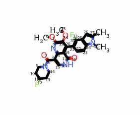 COc1nc2c(C(=O)N3CCC(F)CC3)c[nH]c(=O)c2c(-c2ccc3c(cc(C)n3C)c2F)c1OC